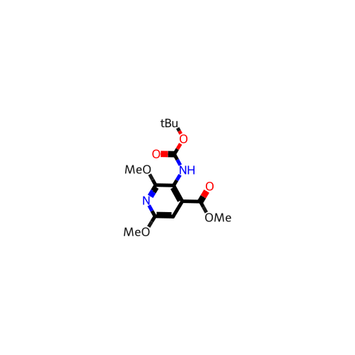 COC(=O)c1cc(OC)nc(OC)c1NC(=O)OC(C)(C)C